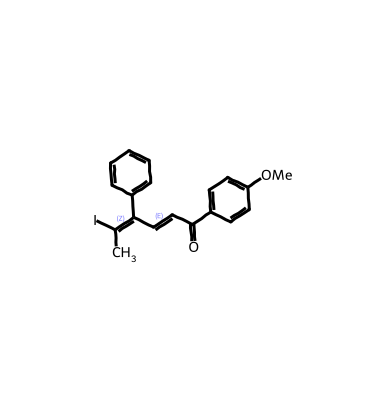 COc1ccc(C(=O)/C=C/C(=C(\C)I)c2ccccc2)cc1